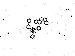 c1ccc(-c2cccc(-c3nc(-c4ccccc4)nc(-c4cccc(-c5cc6c(ccc7ccc8ccccc8c76)c6ccccc56)c4)n3)c2)cc1